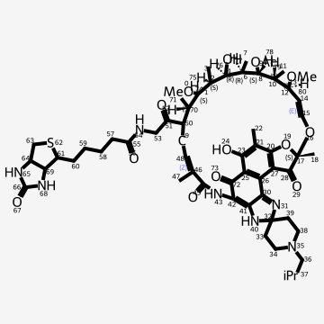 CO[C@@H]1[C@@H](C)[C@@H](O)[C@@H](C)[C@H](OC(C)=O)[C@H](C)[C@@H](OC)/C=C/O[C@@]2(C)Oc3c(C)c(O)c4c(c3C2=O)C2=NC3(CCN(CC(C)C)CC3)NC2=C(NC(=O)/C(C)=C\CC(C(=O)CNC(=O)CCCCC2SCC3NC(=O)NC32)[C@@H]1C)C4=O